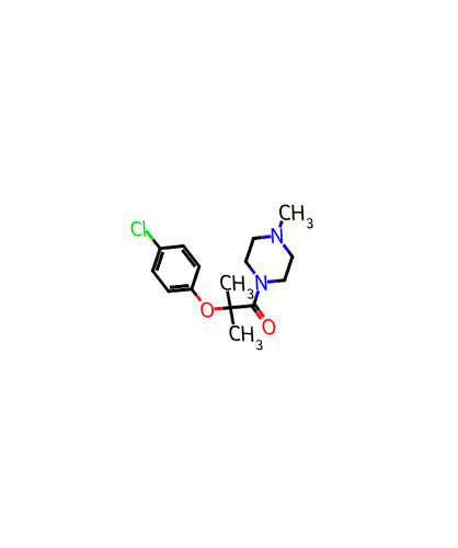 CN1CCN(C(=O)C(C)(C)Oc2ccc(Cl)cc2)CC1